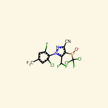 N#Cc1nn(-c2c(F)cc(C(F)(F)F)cc2Cl)c(C(F)F)c1[S+]([O-])C(F)(Cl)Cl